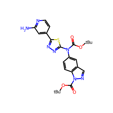 CC(C)(C)OC(=O)N(c1ccc2c(cnn2C(=O)OC(C)(C)C)c1)c1nnc(-c2ccnc(N)c2)s1